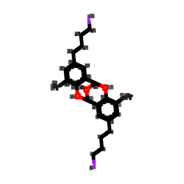 CC(C)c1cc(CCCCI)cc2c1OC1OC2Oc2c(C(C)C)cc(CCCCI)cc21